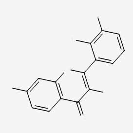 O=c1c(O)c(-c2cccc(F)c2F)oc2cc(F)ccc12